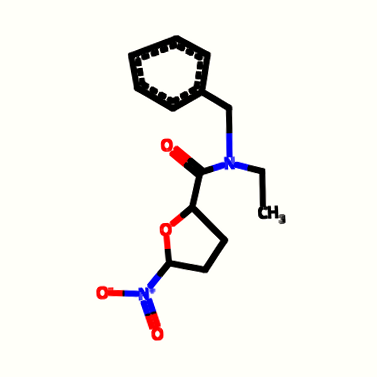 CCN(Cc1ccccc1)C(=O)C1CCC([N+](=O)[O-])O1